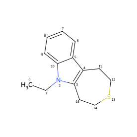 CCn1c2c(c3ccccc31)CCSCC2